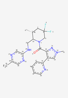 C[C@@H]1CC(F)(F)CN(C(=O)c2nn(C)cc2-c2ccccn2)C1CNc1cnc(C(F)(F)F)cn1